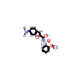 CCOc1ccccc1[S+]([O-])NC(=O)c1cc2ccc(N(C)C)cc2o1